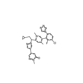 Cc1cc(C(CC2CC2)n2cc(-c3cnn(C)c(=O)c3)cn2)[n+](C)cc1-c1c(-n2cnnn2)ccc(Cl)c1F